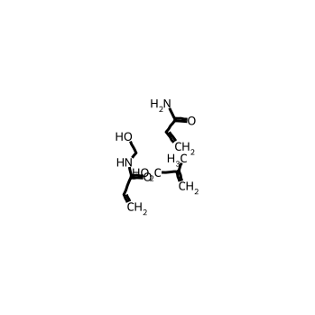 C=C(C)C(=O)O.C=CC(=O)NCO.C=CC(N)=O